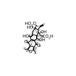 C#CC1[C@](O)(CC(=O)O)Cc2c(O)c3c(c(O)c2[C@]1(O)CC(=O)O)C(=O)c1c(C)oc(C)c1C3=O